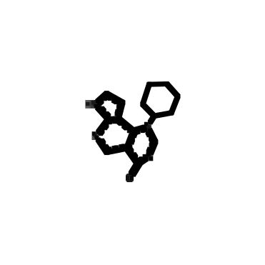 O=c1ncn(C2CCCCC2)c2c1cnc1[nH]ccc12